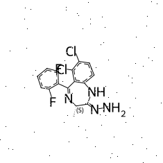 C[C@@H]1N=C(c2c(F)cccc2F)c2c(ccc(Cl)c2Cl)NC1=NN